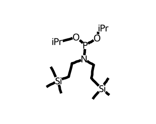 CC(C)OP(OC(C)C)N(CC[Si](C)(C)C)CC[Si](C)(C)C